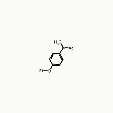 CCOc1ccc(C(C)C(C)=O)cc1